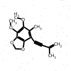 C=C(C)C#Cc1c(C)c(OC)c(OC)c2c1OCO2